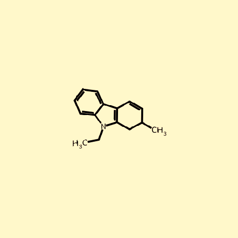 CCn1c2c(c3ccccc31)C=CC(C)C2